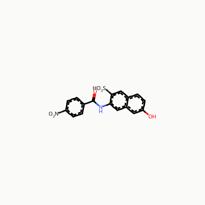 O=C(Nc1cc2cc(O)ccc2cc1S(=O)(=O)O)c1ccc([N+](=O)[O-])cc1